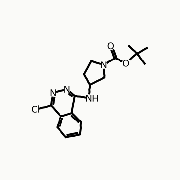 CC(C)(C)OC(=O)N1CCC(Nc2nnc(Cl)c3ccccc23)C1